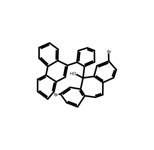 OC1(c2ccccc2-c2cc3ccccc3c3ccccc23)c2cc(Br)ccc2C=Cc2ccc(Br)cc21